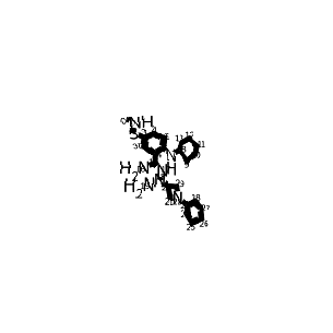 CNSc1ccc(NC2CCCCC2)c(/C(N)=N/N(N)C2CN(c3ccccc3)C2)c1